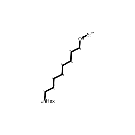 CCCCCCCCCCCCCCO[Si]